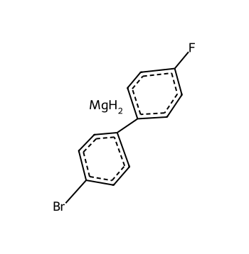 Fc1ccc(-c2ccc(Br)cc2)cc1.[MgH2]